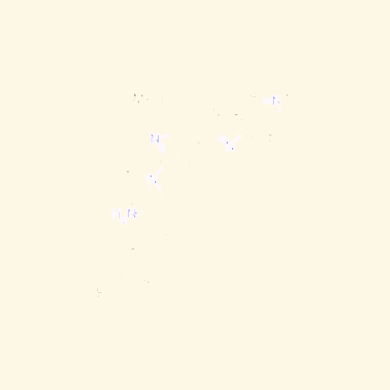 COCc1nc(N(C[C@@H](N)Cc2ccc(C(F)(F)F)cc2)C(C)=O)sc1-c1nc2ccncc2s1